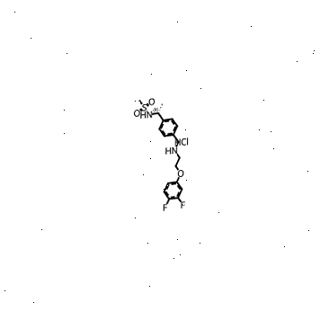 C[C@@H](NS(C)(=O)=O)c1ccc(CNCCOc2ccc(F)c(F)c2)cc1.Cl